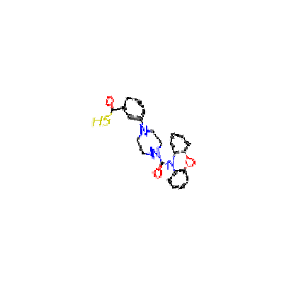 O=C(S)c1cccc(N2CCN(C(=O)N3c4ccccc4Oc4ccccc43)CC2)c1